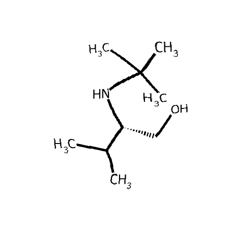 CC(C)[C@@H](CO)NC(C)(C)C